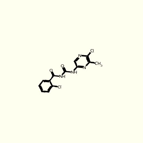 Cc1nc(NC(=O)NC(=O)c2ccccc2Cl)cnc1Cl